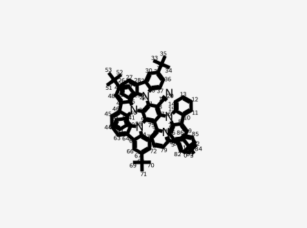 CC(C)(C)c1ccc2c(c1)c1ccccc1n2-c1c(C#N)c(-n2c3ccccc3c3cc(C(C)(C)C)ccc32)c(-n2c3ccccc3c3cc(C(C)(C)C)ccc32)c(-n2c3ccccc3c3cc(C(C)(C)C)ccc32)c1-c1cccc(-c2ccccc2)n1